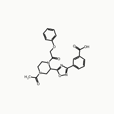 CC(=O)N1CCN(C(=O)COc2ccccc2)C(c2nc(-c3cccc(C(=O)O)c3)no2)C1